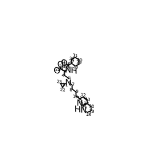 O=C(NC(CCN(CCCCc1ccc2c(n1)NCCC2)C1CC1)C(=O)O)C1CCCCC1